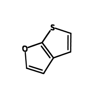 c1cc2ccsc2o1